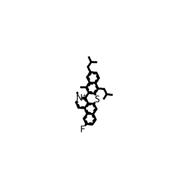 Cc1c2c(c(CC(C)C)c3ccc(CC(C)C)cc13)Sc1cc3ccc(F)cc3c3cc[n+](C)c-2c13